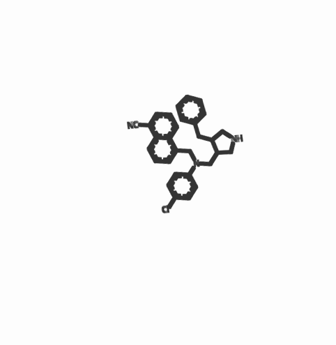 N#Cc1cccc2c(CN(CC3CNCC3Cc3ccccc3)c3ccc(Cl)cc3)cccc12